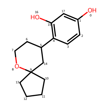 Oc1ccc(C2CCOC3(CCCC3)C2)c(O)c1